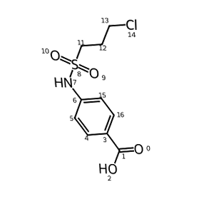 O=C(O)c1ccc(NS(=O)(=O)CCCCl)cc1